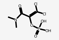 CN(C)C(=O)C(OP(=O)(O)O)=C(Cl)Cl